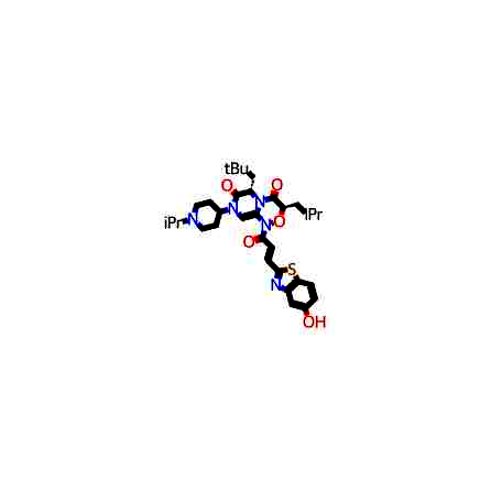 CC(C)C[C@H]1ON(C(=O)/C=C/c2nc3cc(O)ccc3s2)C2=CN(C3CCN(C(C)C)CC3)C(=O)[C@H](CC(C)(C)C)N2C1=O